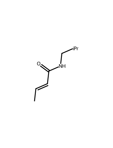 C/C=C/C(=O)NCC(C)C